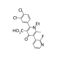 CCn1c(C)c(-c2cccnc2F)c(=O)c(C(=O)O)c1-c1ccc(Cl)c(Cl)c1